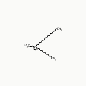 CCCCCCCCCCCCCCCCC1N(CCC)C=CN1CCCCCCCCCC